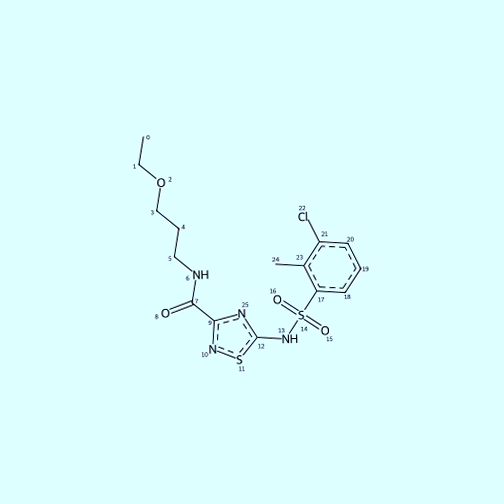 CCOCCCNC(=O)c1nsc(NS(=O)(=O)c2cccc(Cl)c2C)n1